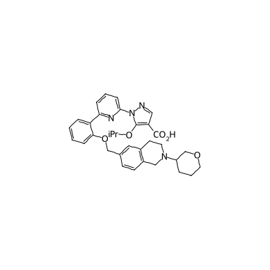 CC(C)Oc1c(C(=O)O)cnn1-c1cccc(-c2ccccc2OCc2ccc3c(c2)CCN(C2CCCOC2)C3)n1